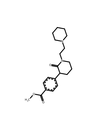 COC(=O)c1ccc(C2CCCN(CCN3CCCCC3)C2=O)cc1